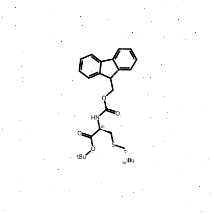 CC[C@@H](C)CSC[C@H](NC(=O)OCC1c2ccccc2-c2ccccc21)C(=O)OC(C)(C)C